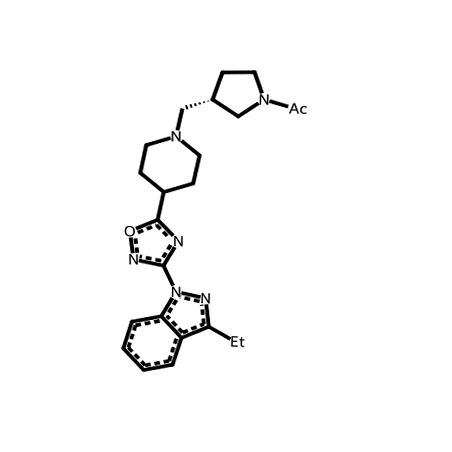 CCc1nn(-c2noc(C3CCN(C[C@@H]4CCN(C(C)=O)C4)CC3)n2)c2ccccc12